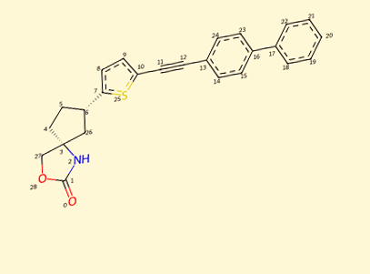 O=C1N[C@@]2(CC[C@H](c3ccc(C#Cc4ccc(-c5ccccc5)cc4)s3)C2)CO1